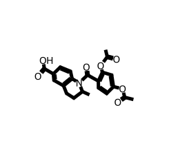 CC(=O)Oc1ccc(C(=O)N2c3ccc(C(=O)O)cc3CCC2C)c(OC(C)=O)c1